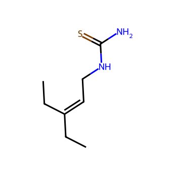 CCC(=CCNC(N)=S)CC